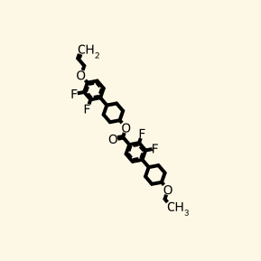 C=CCOc1ccc(C2CCC(OC(=O)c3ccc(C4CCC(OCC)CC4)c(F)c3F)CC2)c(F)c1F